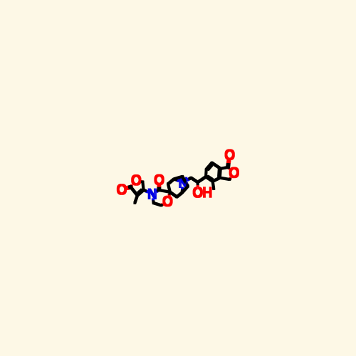 CC1=C(N2CCOC3(CC4CCC(C3)N4CC(O)c3ccc4c(c3C)COC4=O)C2=O)COC1=O